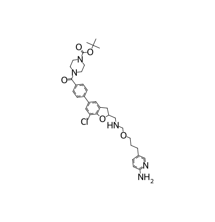 CC(C)(C)OC(=O)N1CCN(C(=O)c2ccc(-c3cc(Cl)c4c(c3)CC(CNCOCCCc3ccc(N)nc3)O4)cc2)CC1